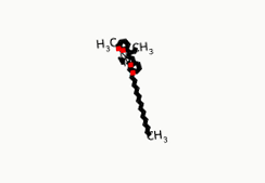 CCCCCCCCCCCCCCCCCCCN1C=CN(CCCC)C1(Cc1ccccc1)C(CC)c1ccccc1